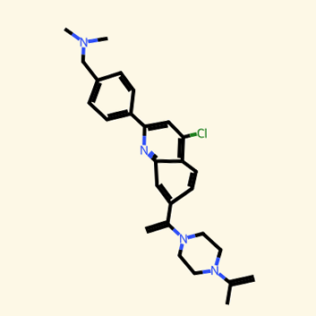 C=C(C)N1CCN(C(=C)c2ccc3c(Cl)cc(-c4ccc(CN(C)C)cc4)nc3c2)CC1